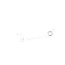 CCC1(COCCCCCCCCOc2ccc(Br)cc2)COC1